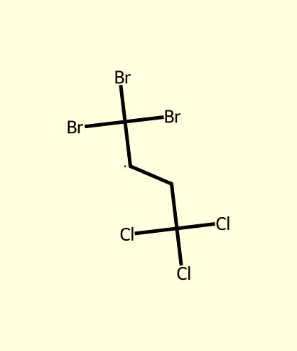 ClC(Cl)(Cl)C[CH]C(Br)(Br)Br